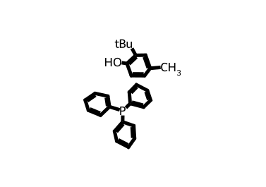 Cc1ccc(O)c(C(C)(C)C)c1.c1ccc(P(c2ccccc2)c2ccccc2)cc1